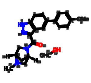 COc1ccc(-c2ccc3[nH]nc(C(=O)N4C[C@@H]5C[C@H]4CN5C)c3c2)cc1.O=CO